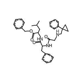 CC(C)CC(NC(=O)C(Cc1ccccc1)NC(=O)CNCC1(c2ccccc2)CC1)C(=O)OCc1ccccc1